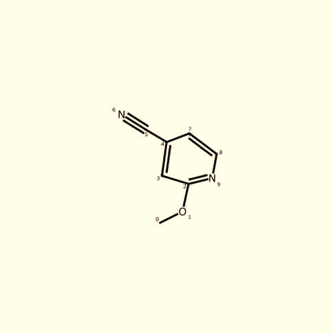 COc1cc(C#N)[c]cn1